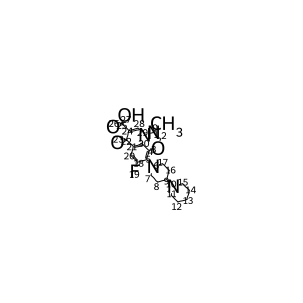 CN1COc2c(N3CCC(N4CCCCC4)CC3)c(F)cc3c(=O)c(C(=O)O)cn1c23